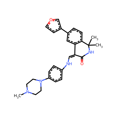 CN1CCN(c2ccc(NC=C3C(=O)NC(C)(C)c4ccc(-c5ccoc5)cc43)cc2)CC1